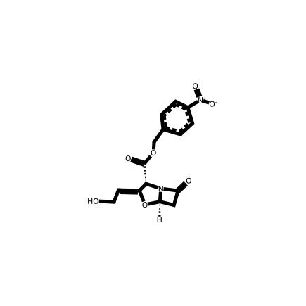 O=C(OCc1ccc([N+](=O)[O-])cc1)[C@H]1/C(=C/CO)O[C@@H]2CC(=O)N21